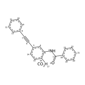 O=C(Nc1cc(C#Cc2ccccc2)ccc1C(=O)O)c1ccccc1